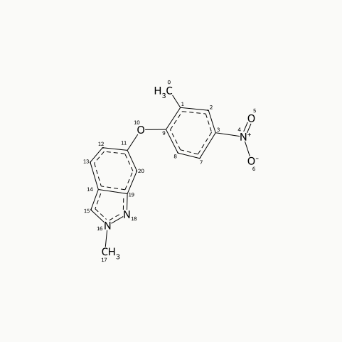 Cc1cc([N+](=O)[O-])ccc1Oc1ccc2cn(C)nc2c1